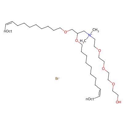 CCCCCCCC/C=C\CCCCCCCCOCC(C[N+](C)(C)CCOCCOCCOCCO)OCCCCCCCC/C=C\CCCCCCCC.[Br-]